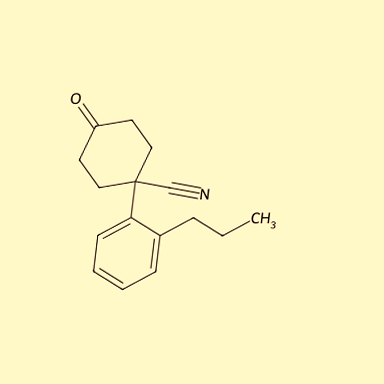 CCCc1ccccc1C1(C#N)CCC(=O)CC1